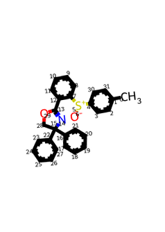 Cc1ccc([S+]([O-])c2ccccc2C2=NC(c3ccccc3)(c3ccccc3)CO2)cc1